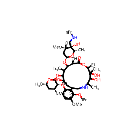 CCCNC[C@]1(O)[C@H](C)O[C@@H](OC2C(C)C(=O)OC(CC)C(C)(O)C(O)C(C)NCC(C)CC(C)(O)C(O[C@@H]3O[C@H](C)C[C@H](NC)[C@H]3Oc3ccc(OC)c(OC(C)C)c3)C2C)C[C@@]1(C)OC